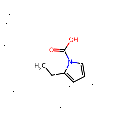 CCc1cccn1C(=O)O